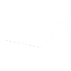 CC(F)C(F)C(F)C(F)C(F)C(F)C(F)C(F)C(F)CC(C)(F)C(F)(F)C(F)(F)C(F)(F)C(F)(F)C(F)(F)C(F)(F)C(F)(F)C(F)(F)C(F)(F)F